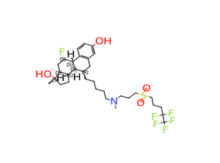 CN(CCCCC[C@@H]1Cc2cc(O)ccc2[C@@H]2[C@@H]1[C@@H]1CC[C@](C)(O)[C@@]1(C)C[C@@H]2F)CCCS(=O)(=O)CCCC(F)(F)C(F)(F)F